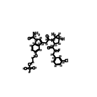 CS(=O)(=O)OCCOc1ccc2c(c1)c(CC(=O)N1[C@@H]3C[C@@H]3C[C@H]1C(=O)N(F)Cc1cccc(Cl)c1)cn2C(N)=O